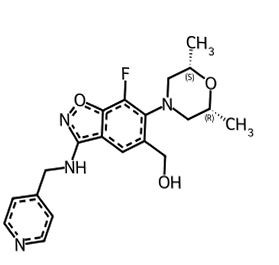 C[C@@H]1CN(c2c(CO)cc3c(NCc4ccncc4)noc3c2F)C[C@H](C)O1